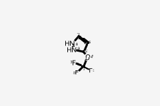 FC(F)(F)OC1C=[C]NN1